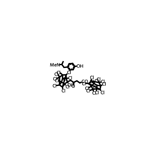 CCOC(=O)CCC(=O)CC1(O)C2(Cl)C3(Cl)C4(Cl)C(Cl)(Cl)C5(Cl)C3(Cl)C1(Cl)C5(Cl)C42Cl.CNC(C)Cc1ccc(O)cc1.ClC1(Cl)C2(Cl)C3(Cl)C4(Cl)C(Cl)(Cl)C5(Cl)C3(Cl)C1(Cl)C5(Cl)C24Cl